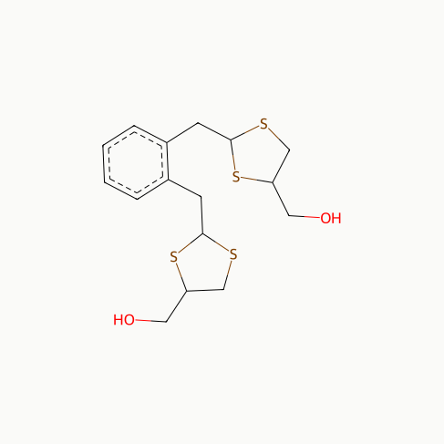 OCC1CSC(Cc2ccccc2CC2SCC(CO)S2)S1